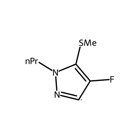 CCCn1n[c]c(F)c1SC